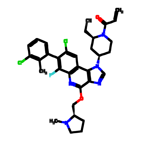 C=CC(=O)N1CC[C@H](n2cnc3c(OC[C@@H]4CCCN4C)nc4c(F)c(-c5cccc(Cl)c5C)c(Cl)cc4c32)C[C@H]1CC#N